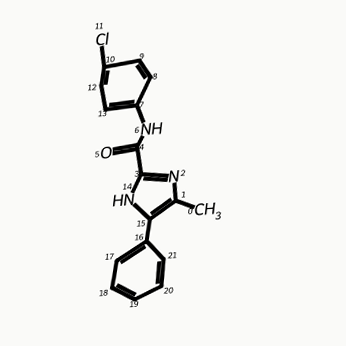 Cc1nc(C(=O)Nc2ccc(Cl)cc2)[nH]c1-c1ccccc1